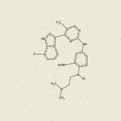 CC(=O)Nc1cc(Nc2ncc(C(F)(F)F)c(-c3c[nH]c4c(F)cccc34)n2)ccc1N(CCN(C)C)C(C)=O